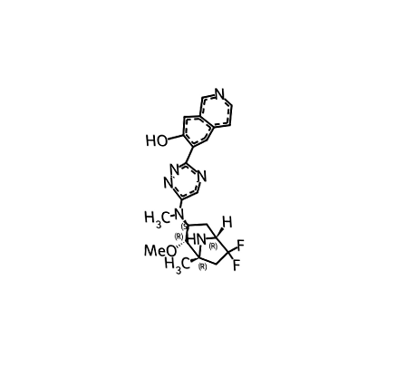 CO[C@@H]1[C@@H](N(C)c2cnc(-c3cc4ccncc4cc3O)nn2)C[C@H]2N[C@]1(C)CC2(F)F